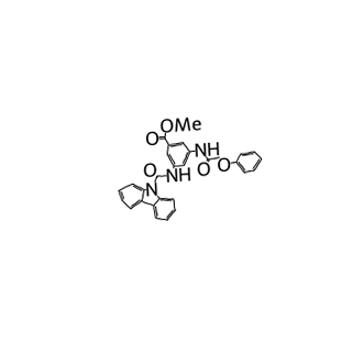 COC(=O)c1cc(NC(=O)COc2ccccc2)cc(NC(=O)n2c3ccccc3c3ccccc32)c1